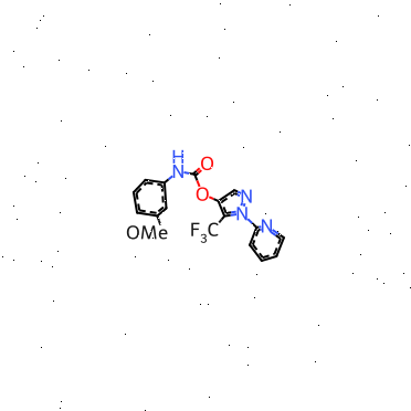 COc1cccc(NC(=O)Oc2cnn(-c3ccccn3)c2C(F)(F)F)c1